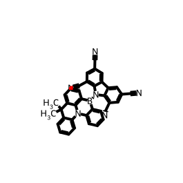 CC1(C)c2ccccc2N2c3ccccc3B(n3c4c(C#N)cc(C#N)cc4c4cc(C#N)cc(C#N)c43)c3cccc1c32